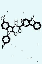 COc1ccc2c(c1)C(NC(=O)c1cc3c4ccccc4n(C)c3cn1)C(=O)N2c1ccc(F)cc1